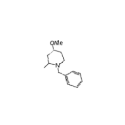 COC1CCN(Cc2ccccc2)C(C)C1